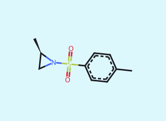 Cc1ccc(S(=O)(=O)N2C[C@H]2C)cc1